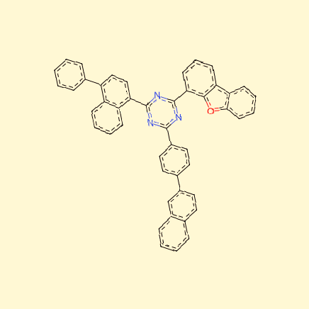 c1ccc(-c2ccc(-c3nc(-c4ccc(-c5ccc6ccccc6c5)cc4)nc(-c4cccc5c4oc4ccccc45)n3)c3ccccc23)cc1